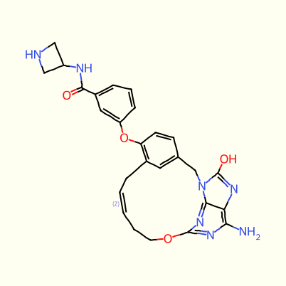 Nc1nc2nc3c1nc(O)n3Cc1ccc(Oc3cccc(C(=O)NC4CNC4)c3)c(c1)C/C=C\CCO2